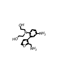 NCc1occc1-c1cc(N)ccc1N(CCO)CCO